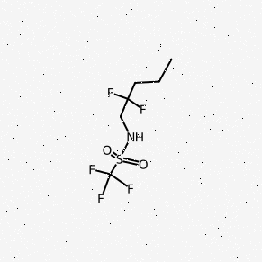 CCCC(F)(F)CNS(=O)(=O)C(F)(F)F